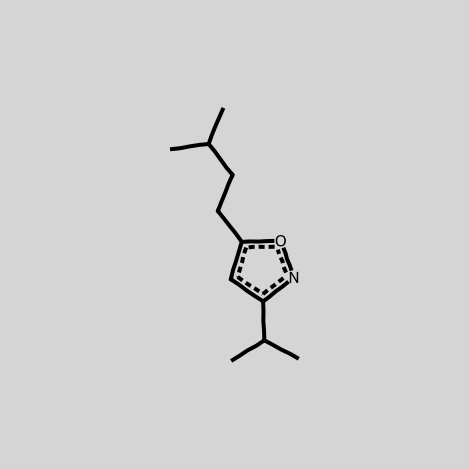 CC(C)CCc1cc(C(C)C)no1